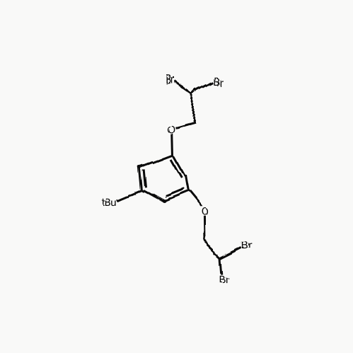 CC(C)(C)c1cc(OCC(Br)Br)cc(OCC(Br)Br)c1